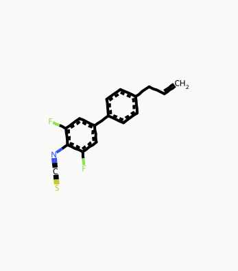 C=CCc1ccc(-c2cc(F)c(N=C=S)c(F)c2)cc1